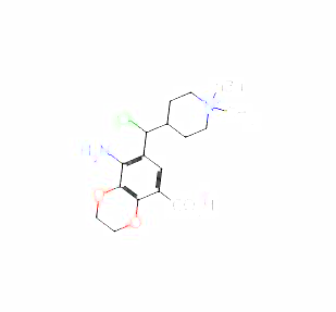 CCCC[N+]1(C)CCC(C(Cl)c2cc(C(=O)O)c3c(c2N)OCCO3)CC1.[I-]